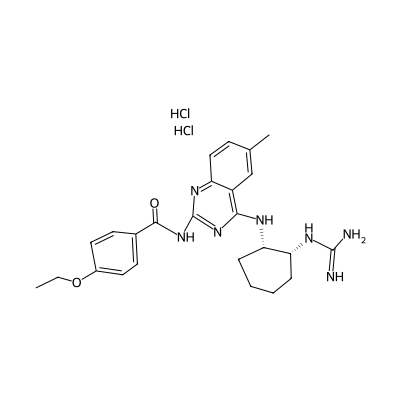 CCOc1ccc(C(=O)Nc2nc(N[C@H]3CCCC[C@H]3NC(=N)N)c3cc(C)ccc3n2)cc1.Cl.Cl